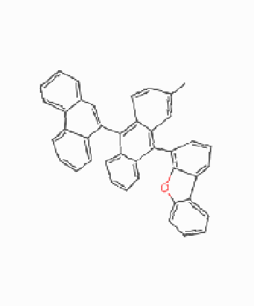 Cc1ccc2c(-c3cc4ccccc4c4ccccc34)c3ccccc3c(-c3cccc4c3oc3ccccc34)c2c1